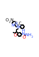 Cc1oc2ccc(NC(N)=O)cc2c1CC[N+](C)(Cc1ncc([N+](=O)[O-])cn1)c1ccccc1C(F)(F)F